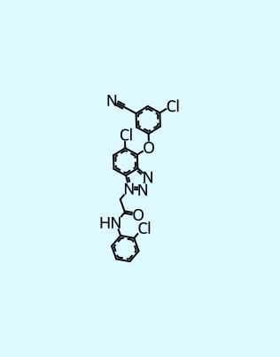 N#Cc1cc(Cl)cc(Oc2c(Cl)ccc3c2nnn3CC(=O)Nc2ccccc2Cl)c1